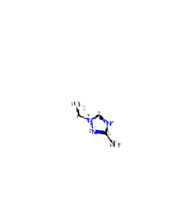 CC(C)c1ncn(CC(F)(F)F)n1